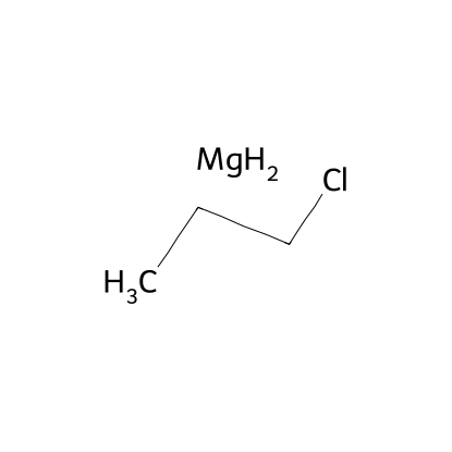 CCCCl.[MgH2]